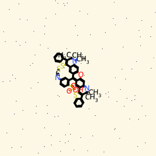 CN1c2cc3c(cc2-c2sc4ccccc4c2C1(C)C)C(c1cc(N=C=S)ccc1S(=O)(=O)O)=c1cc2c(cc1O3)=NC(C)(C)c1c-2sc2ccccc12